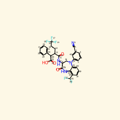 N#Cc1cccc(N2CC(NC(=O)C(CCC(F)(F)F)C(C(=O)O)c3ccccc3)C(=O)Nc3c(C(F)F)cccc32)c1